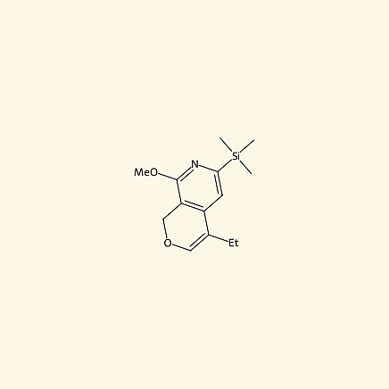 CCC1=COCc2c1cc([Si](C)(C)C)nc2OC